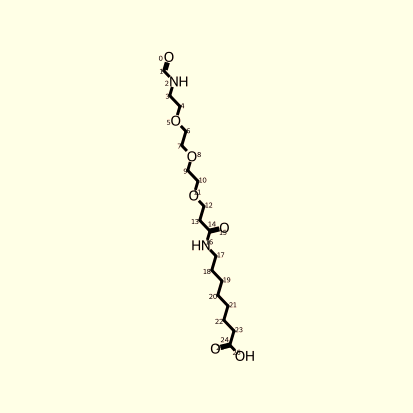 O=CNCCOCCOCCOCCC(=O)NCCCCCCCC(=O)O